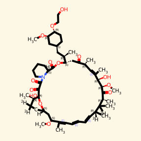 [2H]C1([2H])C[C@H]2C[C@H](OC)/C(C)=C/C=C/C=C/[C@@]([2H])(C)C([2H])(C)[C@@H](C)C(=O)[C@H](OC)[C@H](O)/C(C)=C/[C@@H](C)C(=O)C[C@@H]([C@H](C)C[C@@H]3CC[C@@H](OCCO)[C@H](OC)C3)OC(=O)[C@@H]3CCCCN3C(=O)C(=O)[C@](O)(O2)[C@@H]1C